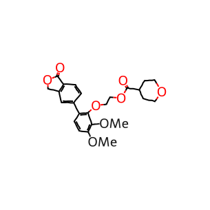 COc1ccc(-c2ccc3c(c2)COC3=O)c(OCCOC(=O)C2CCOCC2)c1OC